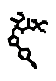 COC(=O)[C@H](Cc1ccc(-c2ccc(C#N)cc2)s1)NC(=O)OC(C)(C)C